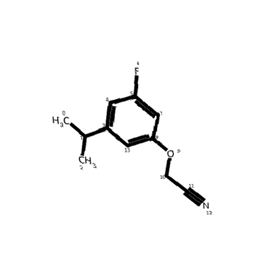 CC(C)c1cc(F)cc(OCC#N)c1